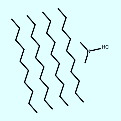 CCCCCCCCCC.CCCCCCCCCC.CCCCCCCCCC.CCCCCCCCCC.CN(C)C.Cl